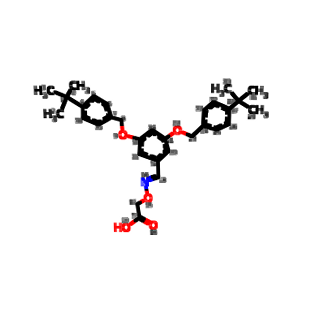 CC(C)(C)c1ccc(COc2cc(C=NOCC(=O)O)cc(OCc3ccc(C(C)(C)C)cc3)c2)cc1